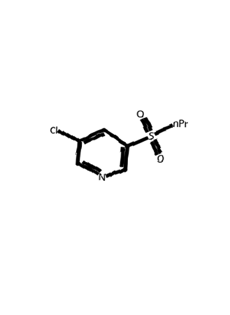 CCCS(=O)(=O)c1cncc(Cl)c1